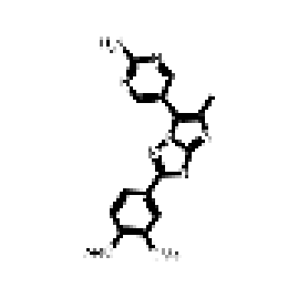 COc1ccc(-c2nn3c(-c4cnc(N)nc4)c(C)nc3o2)cc1OC